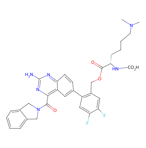 CN(C)CCCC[C@H](NC(=O)O)C(=O)OCc1cc(F)c(F)cc1-c1ccc2nc(N)nc(C(=O)N3Cc4ccccc4C3)c2c1